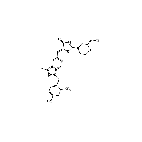 Cc1nn(CC2=CC=C(C(F)(F)F)CC2C(F)(F)F)c2ccc(/C=C3\SC(N4CCO[C@H](CO)C4)=NC3=O)cc12